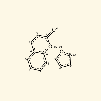 O=c1ccc2ccccc2o1.c1cnoc1